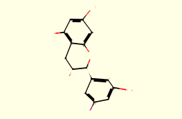 Oc1cc(I)cc([C@@H]2Oc3cc(O)cc(O)c3C[C@@H]2O)c1